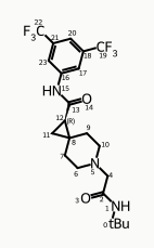 CC(C)(C)NC(=O)CN1CCC2(CC1)C[C@H]2C(=O)Nc1cc(C(F)(F)F)cc(C(F)(F)F)c1